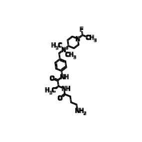 CC(F)N1CCC([N+](C)(C)Cc2ccc(NC(=O)[C@H](C)NC(=O)CCCN)cc2)CC1